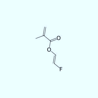 C=C(C)C(=O)OC=CF